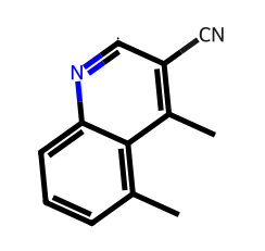 Cc1cccc2n[c]c(C#N)c(C)c12